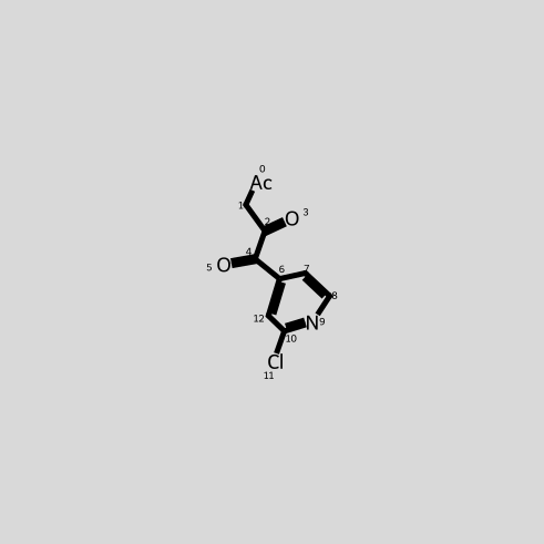 CC(=O)CC(=O)C(=O)c1ccnc(Cl)c1